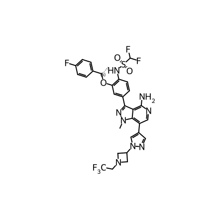 C[C@H](Oc1cc(-c2nn(C)c3c(-c4cnn(C5CN(CC(F)(F)F)C5)c4)cnc(N)c23)ccc1NS(=O)(=O)C(F)F)c1ccc(F)cc1